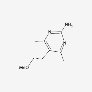 COCCc1c(C)nc(N)nc1C